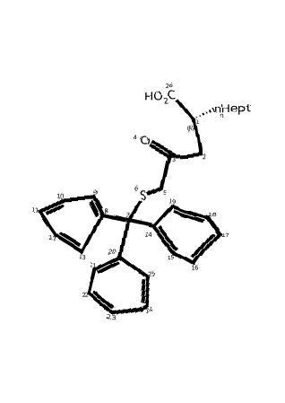 CCCCCCC[C@H](CC(=O)CSC(c1ccccc1)(c1ccccc1)c1ccccc1)C(=O)O